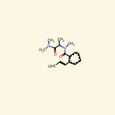 CC(C(=O)N(C)C)N(C)C(=O)c1ccccc1/C=C/[C]=O